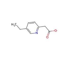 CCc1ccc(CC([O])=O)nc1